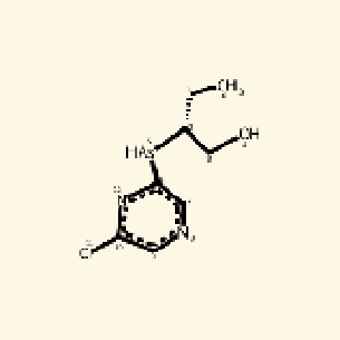 CC[C@H](CO)[AsH]c1cncc(Cl)n1